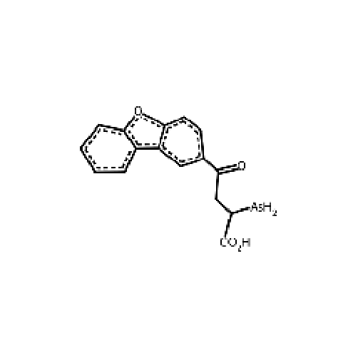 O=C(CC([AsH2])C(=O)O)c1ccc2oc3ccccc3c2c1